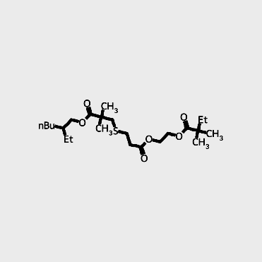 CCCCC(CC)COC(=O)C(C)(C)CSCCC(=O)OCCOC(=O)C(C)(C)CC